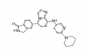 O=C1NCc2cc(-c3cnc(Nc4ccc(N5CCCCC5)nc4)c4nccn34)ccc21